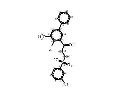 CCc1cccc(S(=O)(=O)NNC(=O)c2cc(-c3ccccc3)cc(C)c2F)c1